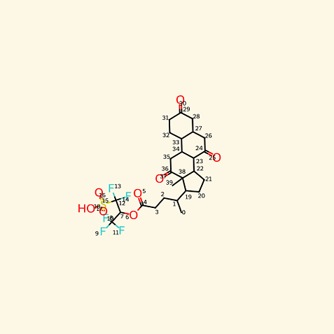 CC(CCC(=O)OC(C(F)(F)F)C(F)(F)S(=O)(=O)O)C1CCC2C3C(=O)CC4CC(=O)CCC4C3CC(=O)C12C